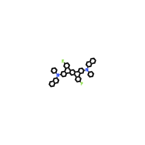 Fc1ccc2c(c1)c1cc(N(c3ccccc3)c3ccc4ccccc4c3)ccc1c1cc3c4ccc(F)cc4c4cc(N(c5ccccc5)c5ccc6ccccc6c5)ccc4c3cc21